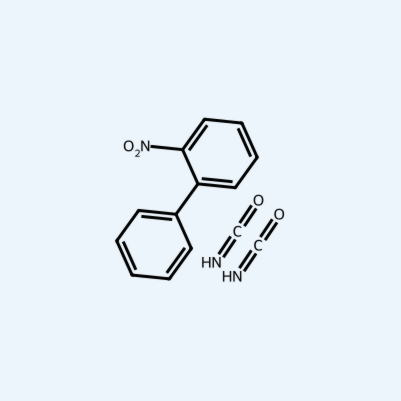 N=C=O.N=C=O.O=[N+]([O-])c1ccccc1-c1ccccc1